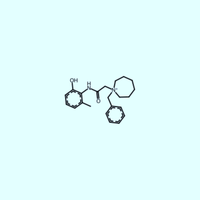 Cc1cccc(O)c1NC(=O)C[N+]1(Cc2ccccc2)CCCCCC1